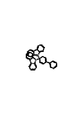 C1=CC(n2c3ccccc3c3ccccc32)(n2c3ccccc3c3ccccc32)CC=C1c1ccccc1